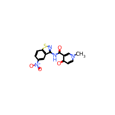 Cn1ccc(=O)c(C(=O)Nc2nsc3ccc([N+](=O)[O-])cc23)c1